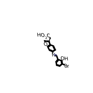 O=C(O)C[C@@H]1COc2cc(/N=C/c3cccc(Br)c3O)ccc21